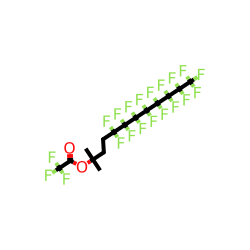 CC(C)(CCC(F)(F)C(F)(F)C(F)(F)C(F)(F)C(F)(F)C(F)(F)C(F)(F)C(F)(F)F)OC(=O)C(F)(F)F